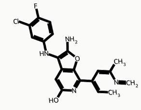 C=N/C(C)=C\C(=C/C)c1nc(O)cc2c(Nc3ccc(F)c(Cl)c3)c(N)oc12